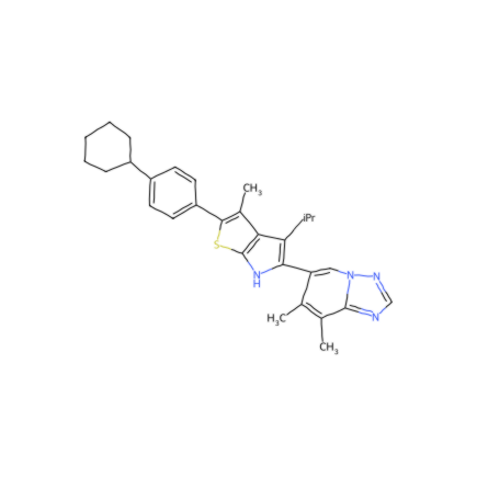 Cc1c(-c2[nH]c3sc(-c4ccc(C5CCCCC5)cc4)c(C)c3c2C(C)C)cn2ncnc2c1C